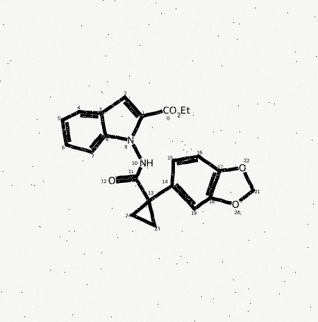 CCOC(=O)c1cc2ccccc2n1NC(=O)C1(c2ccc3c(c2)OCO3)CC1